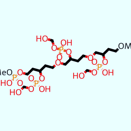 COCCC(COCCC(COCCC(CCOP(=O)(O)OC)OP(=O)(O)OCO)OP(=O)(O)OCO)OP(=O)(O)OCO